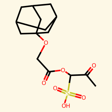 CC(=O)C(OC(=O)COC12CC3CC(CC(C3)C1)C2)S(=O)(=O)O